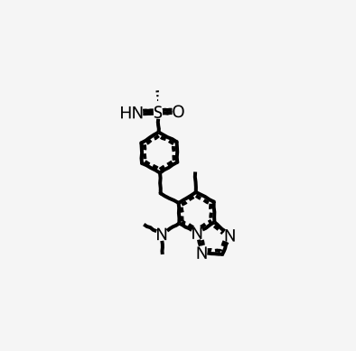 Cc1cc2ncnn2c(N(C)C)c1Cc1ccc([S@@](C)(=N)=O)cc1